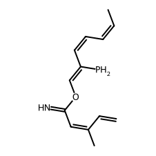 C=C/C(C)=C\C(=N)O/C=C(P)/C=C\C=C/C